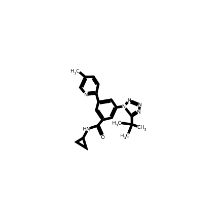 Cc1ccc(-c2cc(C(=O)NC3CC3)cc(-n3nnnc3C(C)(C)C)c2)nc1